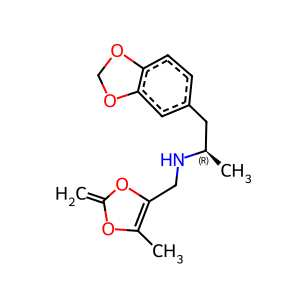 C=C1OC(C)=C(CN[C@H](C)Cc2ccc3c(c2)OCO3)O1